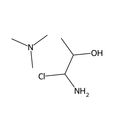 CC(O)C(N)Cl.CN(C)C